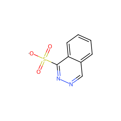 [O]S(=O)(=O)c1nncc2ccccc12